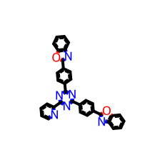 c1ccc(-c2nc(-c3ccc(-c4nc5ccccc5o4)cc3)nc(-c3ccc(-c4nc5ccccc5o4)cc3)n2)nc1